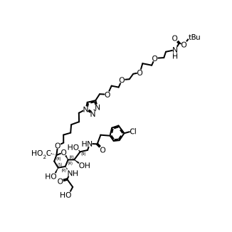 CC(C)(C)OC(=O)NCCOCCOCCOCCOCc1cn(CCCCCCO[C@]2(C(=O)O)C[C@H](O)[C@@H](NC(=O)CO)[C@H]([C@H](O)[C@H](O)CNC(=O)Cc3ccc(Cl)cc3)O2)nn1